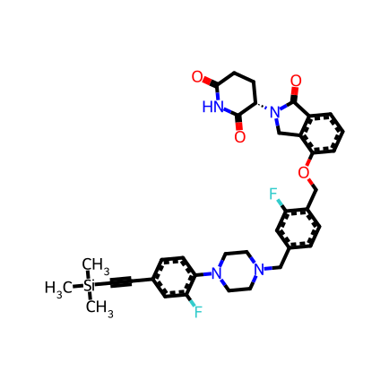 C[Si](C)(C)C#Cc1ccc(N2CCN(Cc3ccc(COc4cccc5c4CN([C@H]4CCC(=O)NC4=O)C5=O)c(F)c3)CC2)c(F)c1